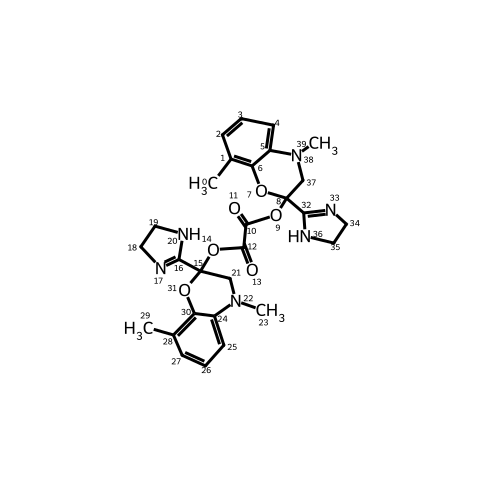 Cc1cccc2c1OC(OC(=O)C(=O)OC1(C3=NCCN3)CN(C)c3cccc(C)c3O1)(C1=NCCN1)CN2C